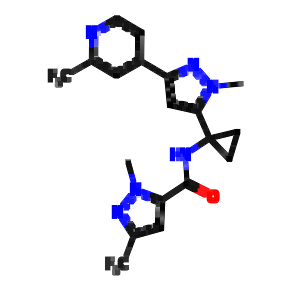 Cn1nc(C(F)(F)F)cc1C(=O)NC1(c2cc(-c3ccnc(C(F)(F)F)c3)nn2C)CC1